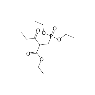 CCOC(=O)C(CP(=O)(OCC)OCC)C(=O)CC